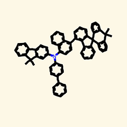 CC1(C)c2ccccc2-c2ccc(N(c3ccc(-c4ccccc4)cc3)c3ccc(-c4cccc5c4-c4ccccc4C54c5ccccc5C(C)(C)c5ccccc54)c4ccccc34)cc21